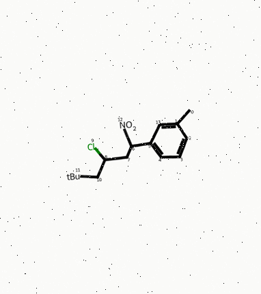 Cc1cccc(C(CC(Cl)CC(C)(C)C)[N+](=O)[O-])c1